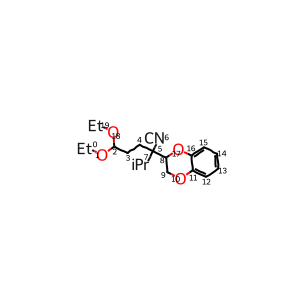 CCOC(CCC(C#N)(C(C)C)C1COc2ccccc2O1)OCC